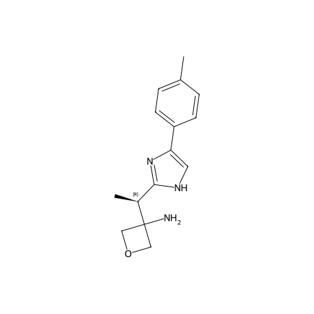 Cc1ccc(-c2c[nH]c([C@H](C)C3(N)COC3)n2)cc1